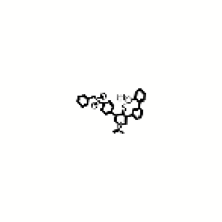 C=C(C)n1cc(-c2ccc(S(=O)(=O)Cc3ccccc3)cc2)c(=S)c(-c2cccc(-c3ccccc3OCC)c2)c1